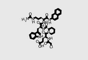 NC(=O)NCCC[C@H](NC(=O)[C@H](Cc1c[nH]c2ccccc12)NC(=O)[C@@H]1CCCCN1C(=O)[C@H](CCC(=O)O)NC(=O)CCl)C(=O)Nc1ccc2ccccc2c1